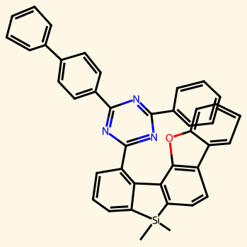 C[Si]1(C)c2cccc(-c3nc(-c4ccccc4)nc(-c4ccc(-c5ccccc5)cc4)n3)c2-c2c1ccc1c2oc2ccccc21